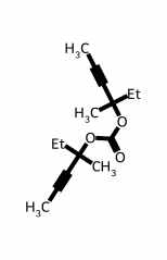 CC#CC(C)(CC)OC(=O)OC(C)(C#CC)CC